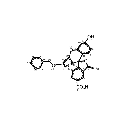 O=C(O)c1ccc2c(c1)C(=O)OC21c2ccc(O)cc2Oc2cc(OCc3ccccc3)ccc21